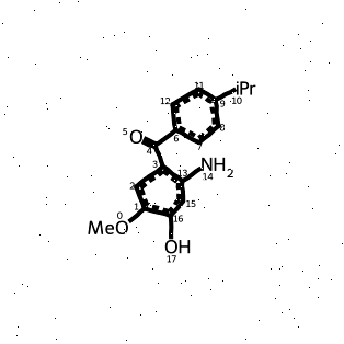 COc1cc(C(=O)c2ccc(C(C)C)cc2)c(N)cc1O